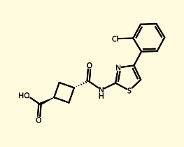 O=C(O)[C@H]1C[C@H](C(=O)Nc2nc(-c3ccccc3Cl)cs2)C1